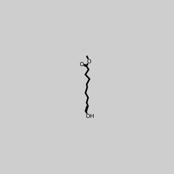 COC(=O)CCCCCCCCC=CO